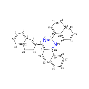 c1ccc2cc(-c3nc(-c4cccc5ccccc45)nc4c3ccc3ccccc34)ccc2c1